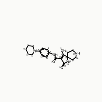 O=C(Nc1ccc(N2CCCCC2)cc1)C1=C(O)C2(CCNCC2)NC1=O